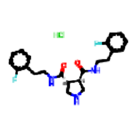 Cl.O=C(NCCc1ccccc1F)[C@H]1CNC[C@@H]1C(=O)NCCc1ccccc1F